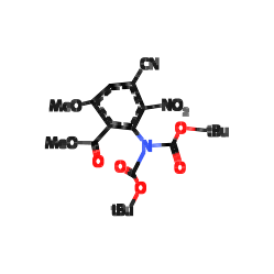 COC(=O)c1c(OC)cc(C#N)c([N+](=O)[O-])c1N(C(=O)OC(C)(C)C)C(=O)OC(C)(C)C